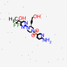 C[C@](O)(c1cnc(N2CCN(S(=O)(=O)c3ccc(N)nc3)C[C@@H]2C#CCO)nc1)C(F)(F)F